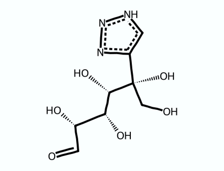 O=C[C@H](O)[C@@H](O)[C@H](O)[C@](O)(CO)c1c[nH]nn1